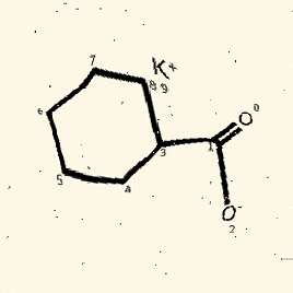 O=C([O-])C1CCCCC1.[K+]